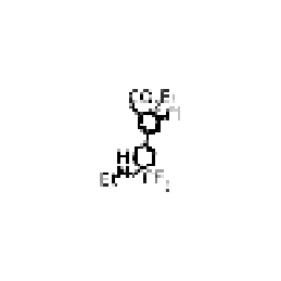 CCNCC1(C(F)(F)F)C=CC(c2cc(Cl)cc(CC(=O)OCC)c2)=CC1